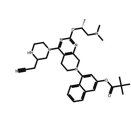 C[C@H](CN(C)C)Oc1nc2c(c(N3CCNC(CC#N)C3)n1)CCN(c1cc(OC(=O)C(C)(C)C)cc3ccccc13)C2